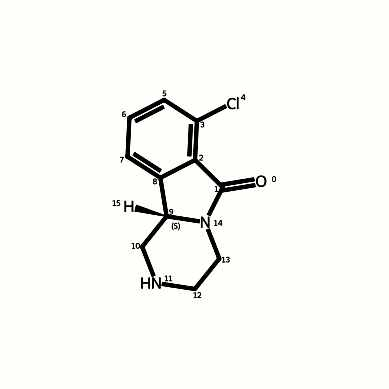 O=C1c2c(Cl)cccc2[C@H]2CNCCN12